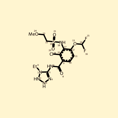 CCN1NNN=C1NC(=O)c1ccc(OC(F)F)c(NS(=O)(=O)CCOC)c1Cl